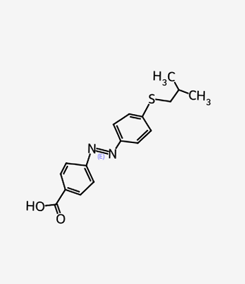 CC(C)CSc1ccc(/N=N/c2ccc(C(=O)O)cc2)cc1